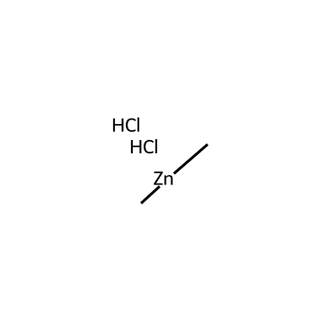 Cl.Cl.[CH3][Zn][CH3]